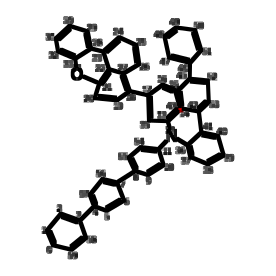 c1ccc(-c2ccc(-c3ccc(N(c4cccc(-c5ccc6c7c(cccc57)-c5ccccc5O6)c4)c4ccccc4-c4ccc(-c5ccccc5)cc4)cc3)cc2)cc1